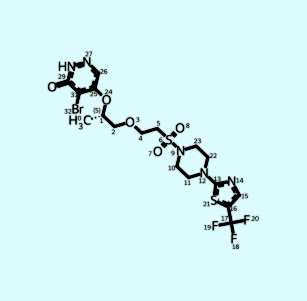 C[C@@H](COCCS(=O)(=O)N1CCN(c2ncc(C(F)(F)F)s2)CC1)Oc1cn[nH]c(=O)c1Br